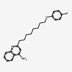 Nc1cc(CCCCCCCCOc2ccc(F)cc2)nc2ccccc12